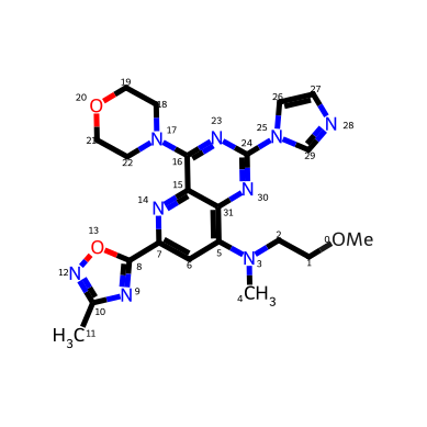 COCCN(C)c1cc(-c2nc(C)no2)nc2c(N3CCOCC3)nc(-n3ccnc3)nc12